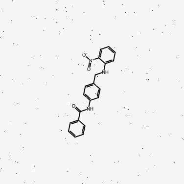 O=C(Nc1ccc(CNc2ccccc2[N+](=O)[O-])cc1)c1ccccc1